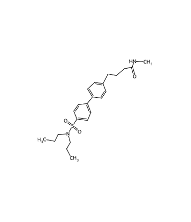 CCCN(CCC)S(=O)(=O)c1ccc(-c2ccc(CCCC(=O)NC)cc2)cc1